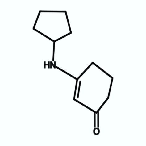 O=C1C=C(NC2CCCC2)CCC1